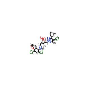 Cc1c(Cl)c(C(F)(F)F)nn1CC(O)C1CCN(c2cc(OC(C)C)c(Cl)cc2Cl)CC1